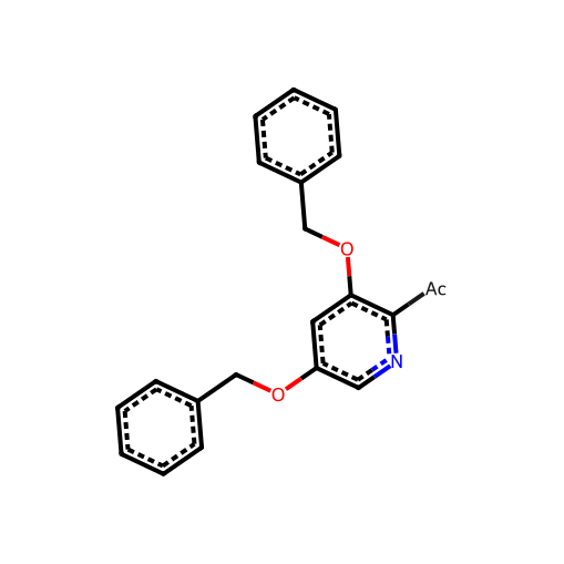 CC(=O)c1ncc(OCc2ccccc2)cc1OCc1ccccc1